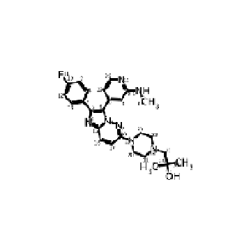 CNc1cc(-c2c(-c3ccc(F)cc3)nc3ccc(N4CCN(CC(C)(C)O)CC4)nn23)ccn1